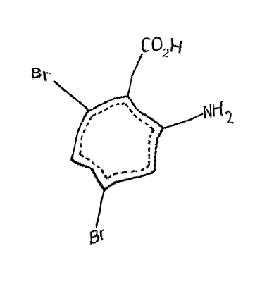 Nc1cc(Br)cc(Br)c1C(=O)O